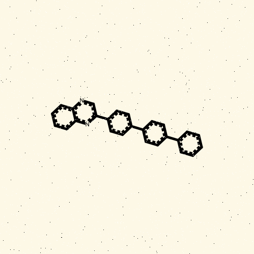 c1ccc(-c2ccc(-c3ccc(-c4cnc5ccccc5n4)cc3)cc2)cc1